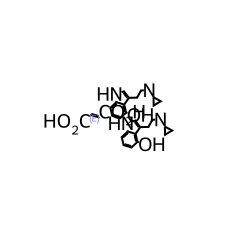 CN(CCc1c[nH]c2cccc(O)c12)C1CC1.CN(CCc1c[nH]c2cccc(O)c12)C1CC1.O=C(O)/C=C/C(=O)O